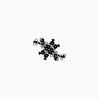 C=C(Cl)C(=O)OCCOC(=O)C(Cc1ccncc1)N1C(=O)c2cc(Oc3ccc(C(C)C)cc3C)c3c4c(Oc5ccc(C(C)C)cc5C)cc5c6c(cc(Oc7ccc(C(C)C)cc7C)c(c7c(Oc8ccc(C(C)C)cc8C)cc(c2c37)C1=O)c64)C(=O)N(C(Cc1ccncc1)C(=O)OCCOC(=O)C(C)Cl)C5=O